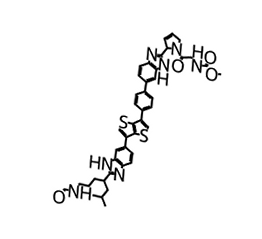 COC(=O)NCC(=O)N1CC=CC1c1nc2ccc(-c3ccc(-c4csc5c(-c6ccc7nc(C(CCCNC=O)CC(C)C)[nH]c7c6)csc45)cc3)cc2[nH]1